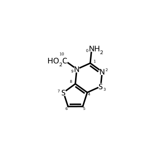 NC1=NSc2ccsc2N1C(=O)O